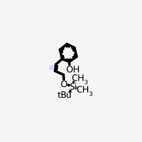 CC(C)(C)[Si](C)(C)OC/C=C\c1ccccc1O